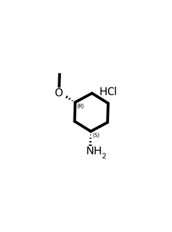 CO[C@@H]1CCC[C@H](N)C1.Cl